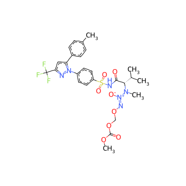 COC(=O)OCO/N=[N+](\[O-])N(C)[C@H](C(=O)NS(=O)(=O)c1ccc(-n2nc(C(F)(F)F)cc2-c2ccc(C)cc2)cc1)C(C)C